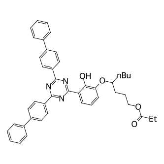 CCCCC(CCCOC(=O)CC)Oc1cccc(-c2nc(-c3ccc(-c4ccccc4)cc3)nc(-c3ccc(-c4ccccc4)cc3)n2)c1O